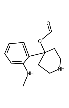 CNc1ccccc1C1(OC=O)CCNCC1